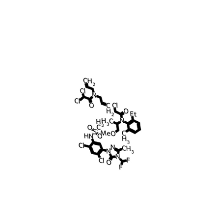 C=CCN(CC=C)C(=O)C(Cl)Cl.CCc1cccc(C)c1N(C(=O)CCl)C(C)COC.Cc1nn(-c2cc(NS(C)(=O)=O)c(Cl)cc2Cl)c(=O)n1C(F)F